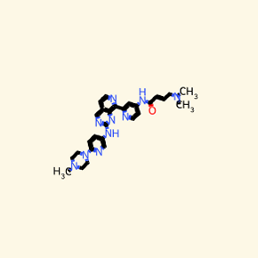 CN(C)C/C=C/C(=O)Nc1ccnc(-c2nccc3cnc(Nc4ccc(N5CCN(C)CC5)nc4)nc23)c1